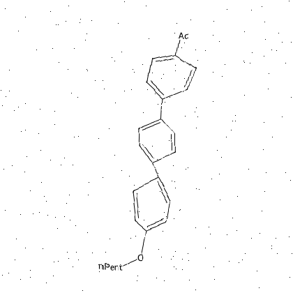 CCCCCOc1ccc(-c2ccc(-c3ccc(C(C)=O)cc3)cc2)cc1